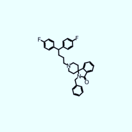 O=C1c2ccccc2C2(CCN(CCCC(c3ccc(F)cc3)c3ccc(F)cc3)CC2)N1Cc1ccccc1